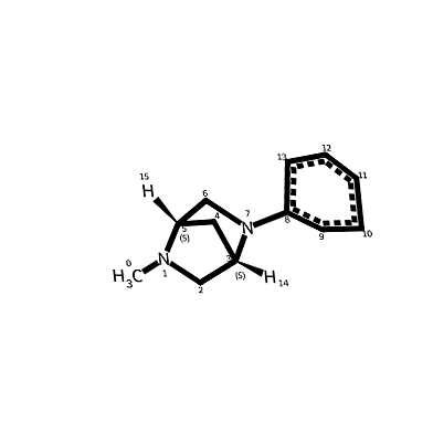 CN1C[C@@H]2C[C@H]1CN2c1ccccc1